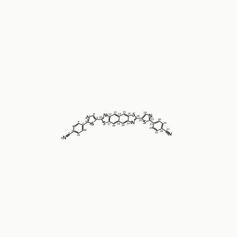 N#Cc1ccc(-c2ncc(-c3nc4cc5cc6sc(-c7cnc(-c8ccc(C#N)cc8)s7)nc6cc5cc4s3)s2)cc1